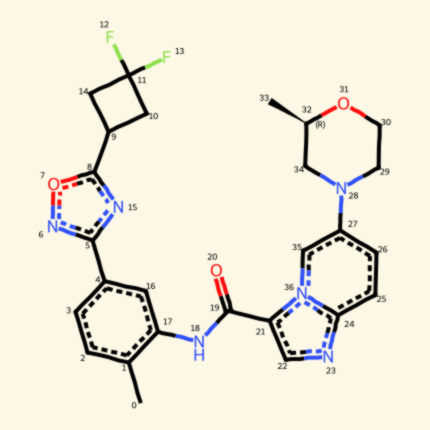 Cc1ccc(-c2noc(C3CC(F)(F)C3)n2)cc1NC(=O)c1cnc2ccc(N3CCO[C@H](C)C3)cn12